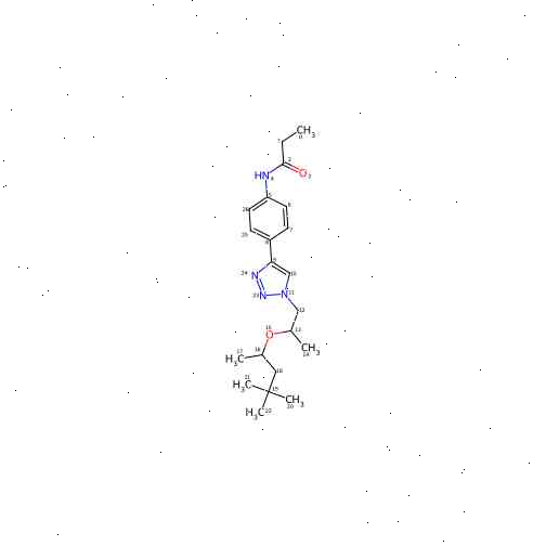 CCC(=O)Nc1ccc(-c2cn(CC(C)OC(C)CC(C)(C)C)nn2)cc1